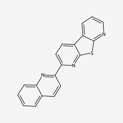 c1ccc2nc(-c3ccc4c(n3)sc3ncccc34)ccc2c1